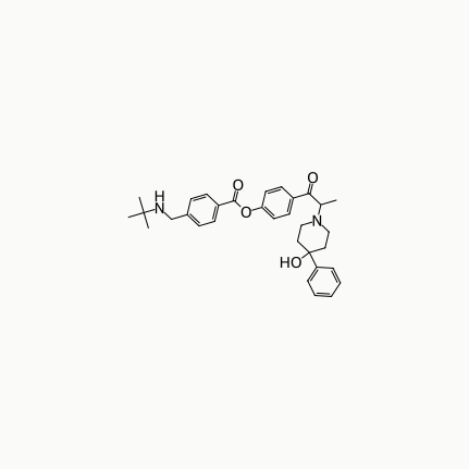 CC(C(=O)c1ccc(OC(=O)c2ccc(CNC(C)(C)C)cc2)cc1)N1CCC(O)(c2ccccc2)CC1